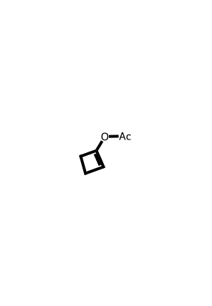 [CH2]C(=O)OC1=CCC1